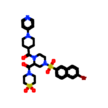 O=C(C1CN(S(=O)(=O)c2ccc3cc(Br)ccc3c2)CCN1C(=O)C1CCN(c2ccncc2)CC1)N1CCS(=O)(=O)CC1